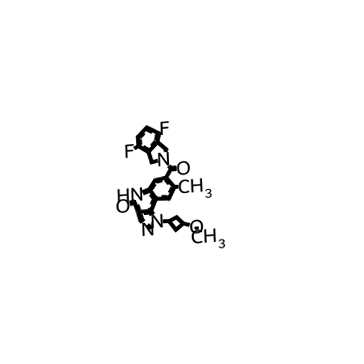 COC1CC(n2ncc3c(=O)[nH]c4cc(C(=O)N5Cc6c(F)ccc(F)c6C5)c(C)cc4c32)C1